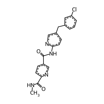 CNC(=O)c1ccc(C(=O)Nc2ccc(Cc3cccc(Cl)c3)cn2)cn1